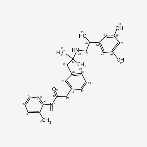 Cc1cccnc1NC(=O)Cc1cccc(CC(C)(C)NCC(O)c2cc(O)cc(O)c2)c1